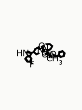 CN(OCc1ccccc1)C(=O)[C@H]1CCCCN1S(=O)(=O)N1CCC(c2c[nH]c3ccc(F)cc23)CC1